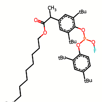 CCCCCCCCCCCCCCCCCCOC(=O)C(C)c1cc(C(C)(C)C)c(OP(OF)Oc2ccc(C(C)(C)C)cc2C(C)(C)C)c(C(C)(C)C)c1